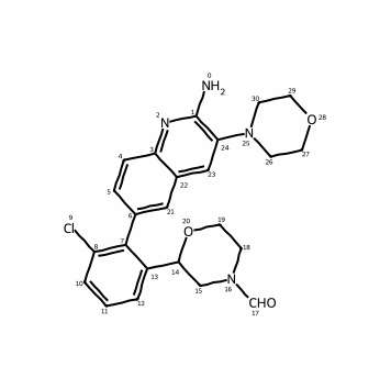 Nc1nc2ccc(-c3c(Cl)cccc3C3CN(C=O)CCO3)cc2cc1N1CCOCC1